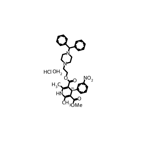 COC(=O)C1=C(C)NC(C)=C(C(=O)OCCN2CCN(C(c3ccccc3)c3ccccc3)CC2)[C@H]1c1cccc([N+](=O)[O-])c1.Cl.O